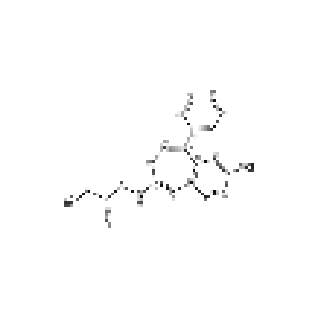 O=C(CBr)CNC1=Nc2ccc(Cl)cc2C(c2ccccc2)=NC1